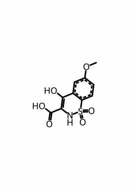 COc1ccc2c(c1)C(O)=C(C(=O)O)NS2(=O)=O